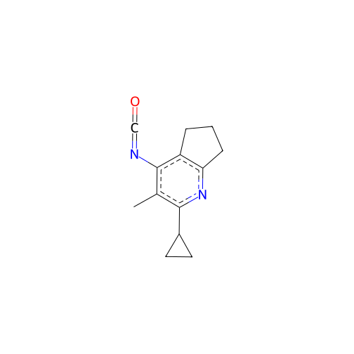 Cc1c(C2CC2)nc2c(c1N=C=O)CCC2